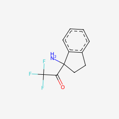 NC1(C(=O)C(F)(F)F)CCc2ccccc21